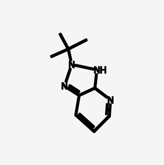 CC(C)(C)N1N=C2C=CC=NC2N1